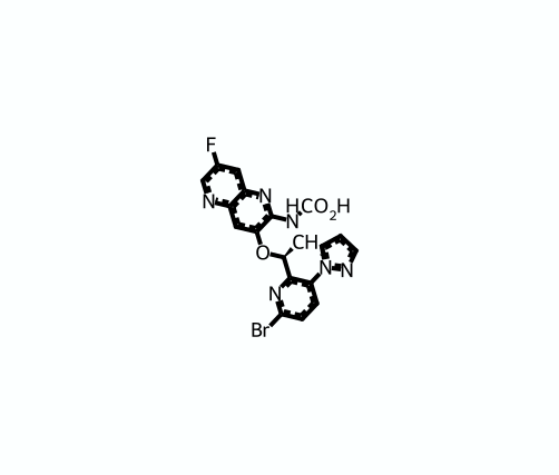 C[C@H](Oc1cc2ncc(F)cc2nc1NC(=O)O)c1nc(Br)ccc1-n1cccn1